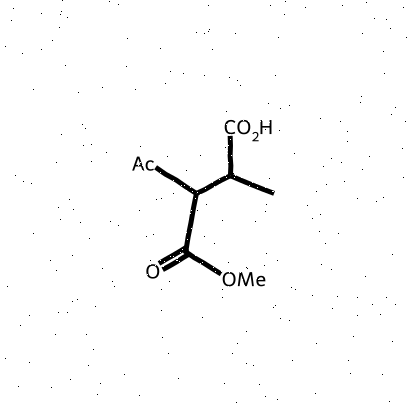 COC(=O)C(C(C)=O)C(C)C(=O)O